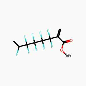 C=C(C(=O)OCCC)C(F)(F)C(F)(F)C(F)(F)C(F)(F)C(C)F